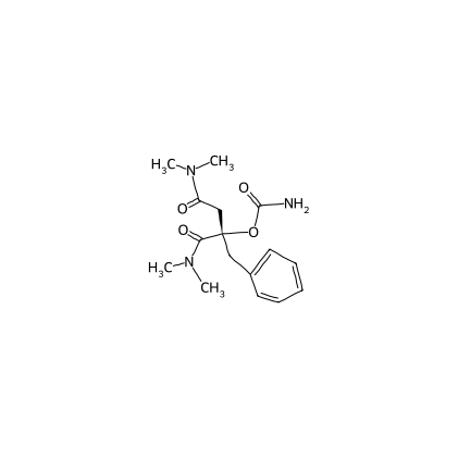 CN(C)C(=O)C[C@](Cc1ccccc1)(OC(N)=O)C(=O)N(C)C